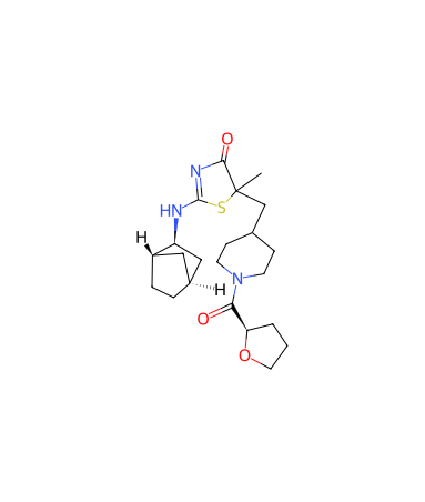 CC1(CC2CCN(C(=O)[C@H]3CCCO3)CC2)SC(N[C@H]2C[C@H]3CC[C@H]2C3)=NC1=O